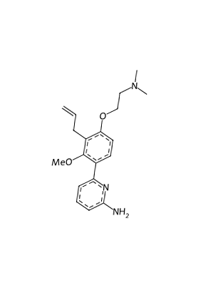 C=CCc1c(OCCN(C)C)ccc(-c2cccc(N)n2)c1OC